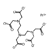 O=C([O-])CN(CCN(CC(=O)[O-])CC(=O)[O-])CCN(CC(=O)[O-])CC(=O)[O-].[Pr+3]